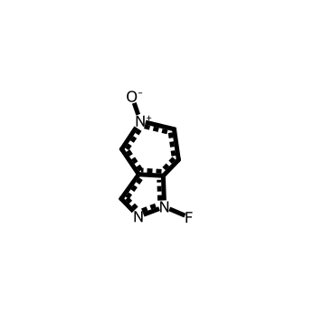 [O-][n+]1ccc2c(cnn2F)c1